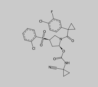 N#CC1(NC(=O)O[C@H]2C[C@@H](S(=O)(=O)c3ccccc3Cl)CN2C(=O)C2(c3ccc(Cl)c(F)c3)CC2)CC1